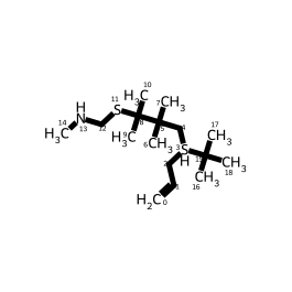 C=CC[SH](CC(C)(C)C(C)(C)SCNC)C(C)(C)C